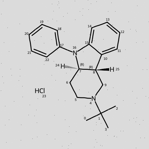 CC(C)(C)N1CC[C@@H]2[C@@H](C1)c1ccccc1N2c1ccccc1.Cl